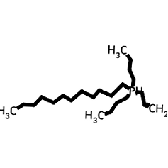 C=CC[PH](CCCC)(CCCC)CCCCCCCCCCCC